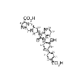 Cn1c(C(=O)O)cnc1CN1CCC(n2c(=O)n(-c3ccc(-c4ccc(C(=O)O)cc4)cc3O)c3cccnc32)C1